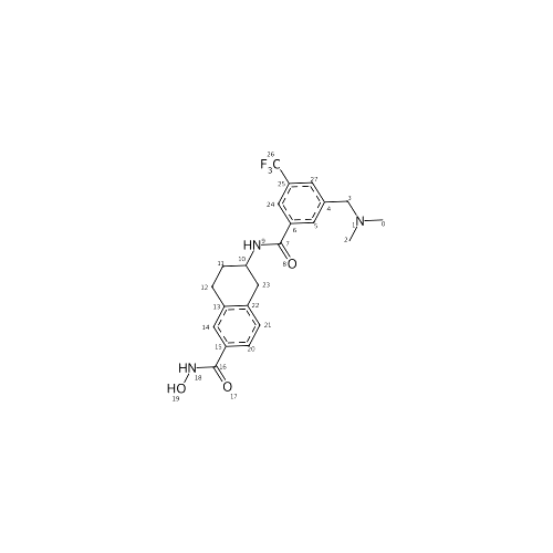 CN(C)Cc1cc(C(=O)NC2CCc3cc(C(=O)NO)ccc3C2)cc(C(F)(F)F)c1